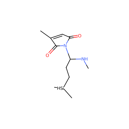 CNC(CC[SiH](C)C)N1C(=O)C=C(C)C1=O